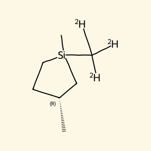 [2H]C([2H])([2H])[Si]1(C)CC[C@@H](C)C1